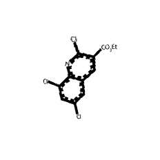 CCOC(=O)c1cc2cc(Cl)cc(Cl)c2nc1Cl